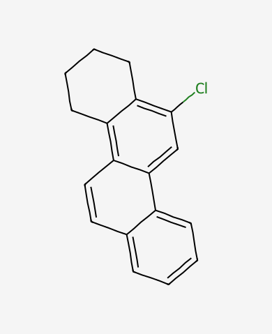 Clc1cc2c(ccc3ccccc32)c2c1CCCC2